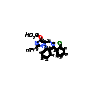 CCCc1nc(OC(=O)O)c2n1-c1ccccc1C(c1ccccc1Cl)=NC2